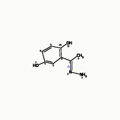 C/C(=N\N)c1cc(O)ccc1O